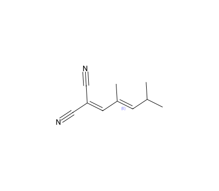 C/C(C=C(C#N)C#N)=C\C(C)C